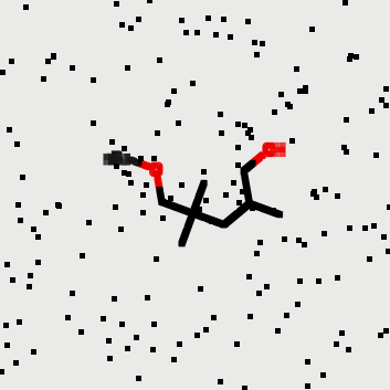 CCCCOCC(C)(C)CC(C)CO